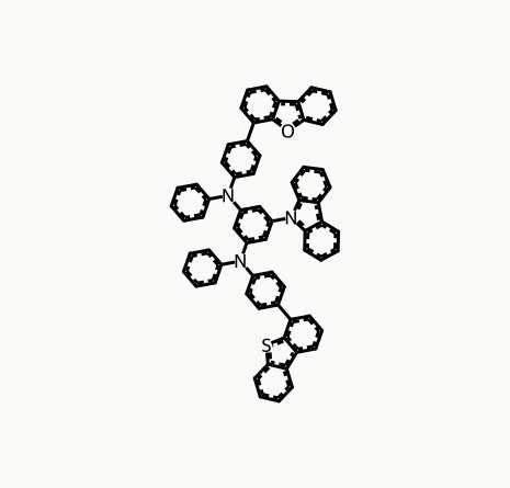 c1ccc(N(c2ccc(-c3cccc4c3oc3ccccc34)cc2)c2cc(N(c3ccccc3)c3ccc(-c4cccc5c4sc4ccccc45)cc3)cc(-n3c4ccccc4c4ccccc43)c2)cc1